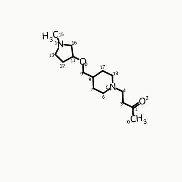 CC(=O)CCN1CCC(COC2CCN(C)C2)CC1